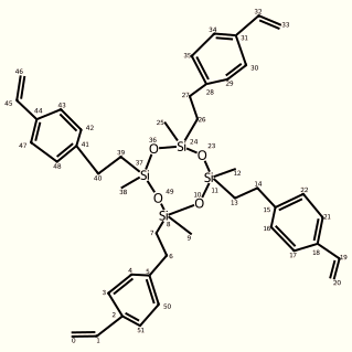 C=Cc1ccc(CC[Si]2(C)O[Si](C)(CCc3ccc(C=C)cc3)O[Si](C)(CCc3ccc(C=C)cc3)O[Si](C)(CCc3ccc(C=C)cc3)O2)cc1